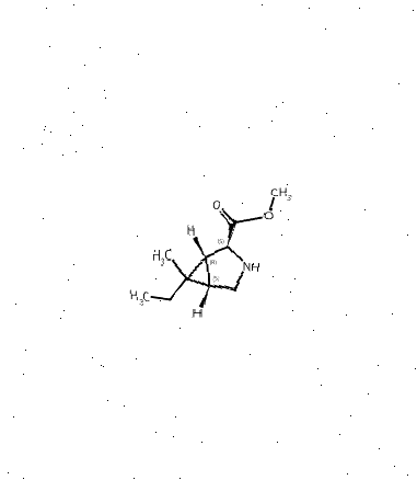 CCC1(C)[C@@H]2[C@@H](C(=O)OC)NC[C@@H]21